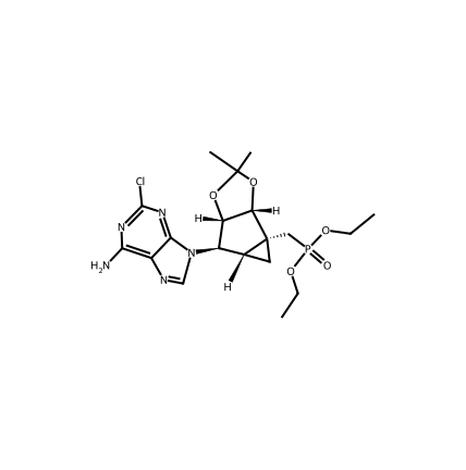 CCOP(=O)(C[C@]12C[C@@H]1[C@@H](n1cnc3c(N)nc(Cl)nc31)[C@@H]1OC(C)(C)O[C@@H]12)OCC